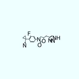 N#CC1(c2ccc(N3C[C@@H](Cc4c[nH]nn4)OC3=O)cc2F)CC1